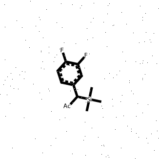 CC(=O)C(c1ccc(F)c(F)c1)[Si](C)(C)C